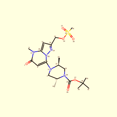 C[C@@H]1CN(c2cc(=O)n(C)c3cc(COS(C)(=O)=O)nn23)[C@@H](C)CN1C(=O)OC(C)(C)C